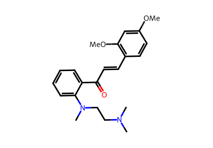 COc1ccc(C=CC(=O)c2ccccc2N(C)CCN(C)C)c(OC)c1